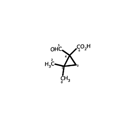 CC1(C)CC1(C=O)C(=O)O